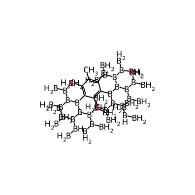 BBB(B)B(B(B)B)B(B(B(B(B)B)B(B)B)B(B(B)B)B(B)B)c1c(C)c(B(B(B(B)B)B(B)B)B(B(BB)B(B)B)B(B(B)B)B(B)B)c(C)c(C)c1CC